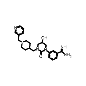 N=C(N)c1cccc(N2CC(O)CN(CC3CCN(Cc4cccnc4)CC3)C2=O)c1